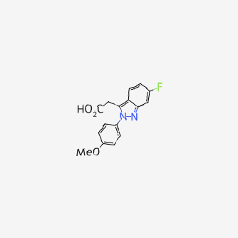 COc1ccc(-n2nc3cc(F)ccc3c2CC(=O)O)cc1